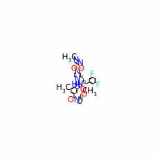 COC[C@H]1CCCN1C(=O)c1cc(C)cc(C(=O)N[C@@H](Cc2cc(F)cc(F)c2)C[C@H]2CN(S(=O)(=O)c3cn(C)cn3)CCN2)c1